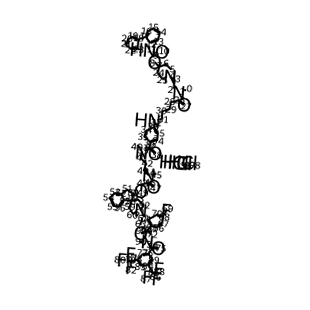 CN(CCN1CCC(OC(=O)Nc2ccccc2-c2ccccc2)CC1)C(=O)CCCCNc1ccc(C(=O)N(C)CCCN(C)C(=O)CO[C@H]2Cc3ccccc3C23CCN(CC[C@]2(c4ccc(F)cc4)CN(C(=O)c4cc(C(F)(F)F)cc(C(F)(F)F)c4)CO2)CC3)cc1.Cl.Cl.Cl